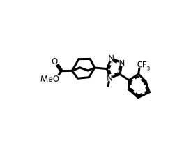 COC(=O)C12CCC(c3nnc(-c4ccccc4C(F)(F)F)n3C)(CC1)CC2